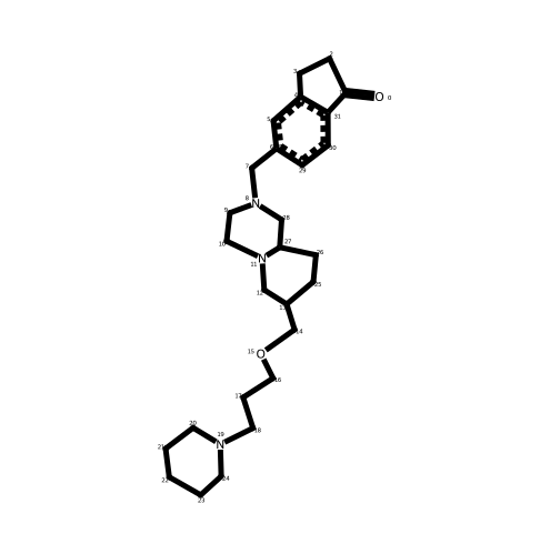 O=C1CCc2cc(CN3CCN4CC(COCCCN5CCCCC5)CCC4C3)ccc21